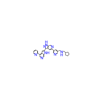 c1ccc(-c2cncc3[nH]c(-c4n[nH]c5cnc(-c6cncc(CNCC7CCCC7)c6)cc45)cc23)nc1